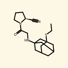 CCSC12CC3CC(CC(NCC(=O)N4CCC[C@H]4C#N)(C3)C1)C2